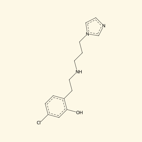 Oc1cc(Cl)ccc1CCNCCCn1ccnc1